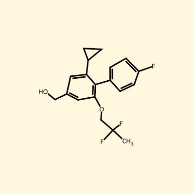 CC(F)(F)COc1cc(CO)cc(C2CC2)c1-c1ccc(F)cc1